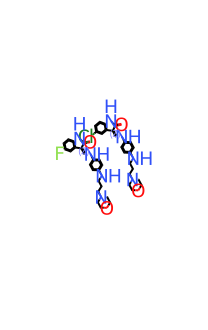 O=C1Nc2ccc(Cl)cc2/C1=C/Nc1ccc(NCCCN2CCOCC2)cc1.O=C1Nc2ccc(F)cc2/C1=C/Nc1ccc(NCCCN2CCOCC2)cc1